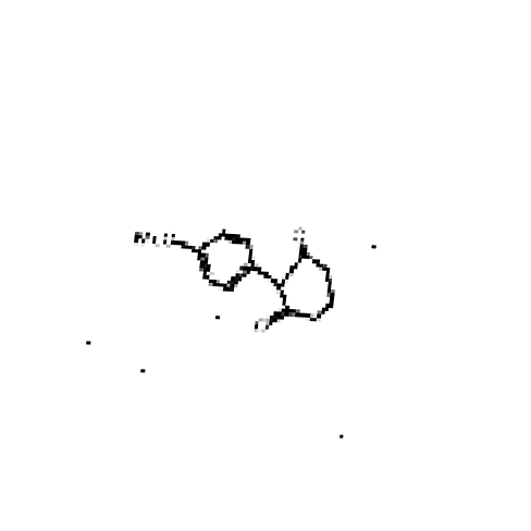 COc1ccc(C2C(=O)CCCC2=O)cc1